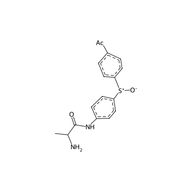 CC(=O)c1ccc([S+]([O-])c2ccc(NC(=O)C(C)N)cc2)cc1